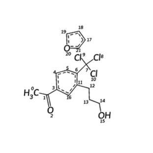 CC(=O)c1ccc(C(Cl)(Cl)Cl)c(CCCO)c1.c1ccoc1